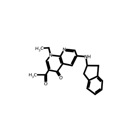 CCn1cc(C(C)=O)c(=O)c2cc(NC3Cc4ccccc4C3)cnc21